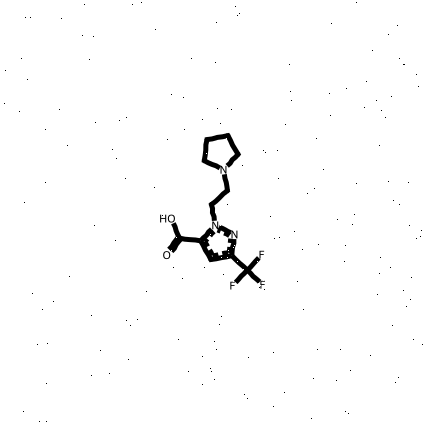 O=C(O)c1cc(C(F)(F)F)nn1CCN1CCCC1